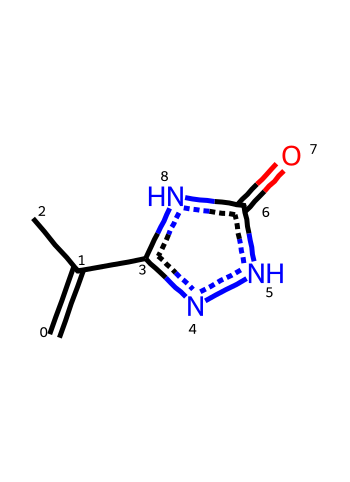 C=C(C)c1n[nH]c(=O)[nH]1